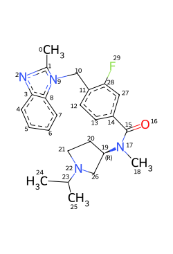 Cc1nc2ccccc2n1Cc1ccc(C(=O)N(C)[C@@H]2CCN(C(C)C)C2)cc1F